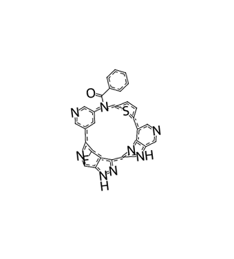 O=C(c1ccccc1)n1c2cncc(c2)c2ncc3[nH]nc(c4nc5c(cncc5c5ccc1s5)[nH]4)c3c2F